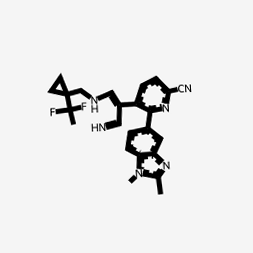 Cc1nc2cc(-c3nc(C#N)ccc3/C(C=N)=C/NCC3(C(C)(F)F)CC3)ccc2n1C